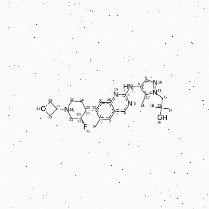 Cc1cc2cnc(Nc3cnn(CC(C)(C)O)c3C)nc2cc1[C@H]1CCN(C2COC2)C[C@@H]1F